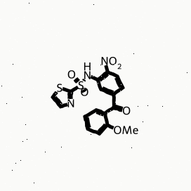 COc1ccccc1C(=O)c1ccc([N+](=O)[O-])c(NS(=O)(=O)c2nccs2)c1